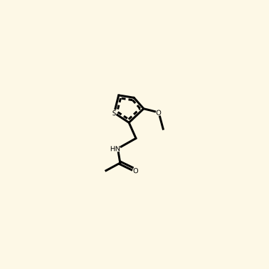 COc1ccsc1CNC(C)=O